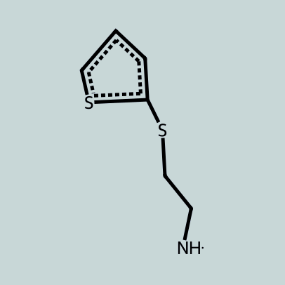 [NH]CCSc1cccs1